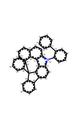 c1ccc(-c2ccccc2-n2c3ccc4c5c3c3c6c(cccc6ccc32)C5(c2ccccc2)c2ccccc2-4)cc1